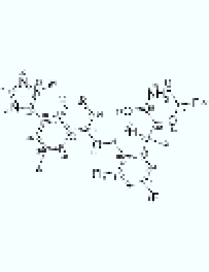 [2H]C(C)(c1cc(F)cc(Cl)c1COc1cccc2c(-c3ncnn3C)cc(C)nc12)C(OC(F)F)C(N)=O